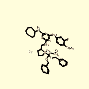 CC[N+]1(C(OCc2ccccc2)(OCc2ccccc2)O[PH2]=O)CCCC1CNc1nc(Nc2ccc(OC)c(F)c2)nc(NC2CCCCCC2)n1.[Cl-]